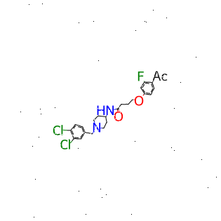 CC(=O)c1ccc(OCCCC(=O)NC2CCN(Cc3ccc(Cl)c(Cl)c3)CC2)cc1F